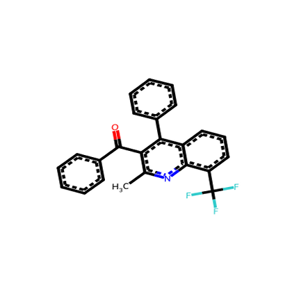 Cc1nc2c(C(F)(F)F)cccc2c(-c2ccccc2)c1C(=O)c1ccccc1